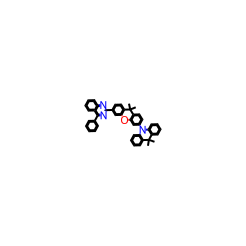 CC1(C)c2ccc(-c3nc(-c4ccccc4)c4ccccc4n3)cc2Oc2cc(N3c4ccccc4C(C)(C)c4ccccc43)ccc21